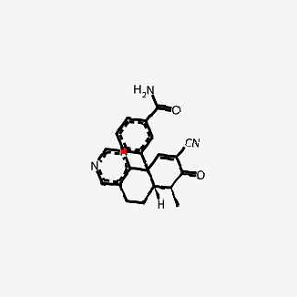 C[C@@H]1C(=O)C(C#N)=CC2(c3cccc(C(N)=O)c3)c3ncncc3CC[C@@H]12